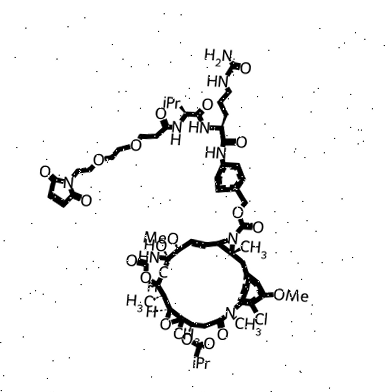 COc1cc2cc(c1Cl)N(C)C(=O)C[C@H](OC(=O)C(C)C)C1(C)O[C@H]1[C@H](C)[C@@H]1C[C@@](O)(NC(=O)O1)[C@H](OC)/C=C/C1N(C(=O)OCc3ccc(NC(=O)[C@H](CCCNC(N)=O)NC(=O)[C@@H](NC(=O)CCOCCOCCN4C(=O)C=CC4=O)C(C)C)cc3)[C@]1(C)C2